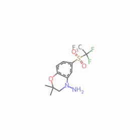 CC1(C)CN(N)c2cc(S(=O)(=O)C(F)(F)C(F)(F)F)ccc2O1